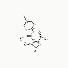 Cc1sc(C(=O)[O-])c(NCC2CCN(C)CC2)c1Cl.[Li+]